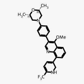 COc1c(-c2ccc(N3C[C@@H](C)O[C@@H](C)C3)cc2)cnc2c(C3=CC=C(C(F)(F)F)NC3)cccc12